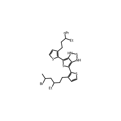 CCCC(CC)CCc1ccsc1-c1sc(-c2sccc2CCC(CC)CC(C)Br)c2c1NSN2